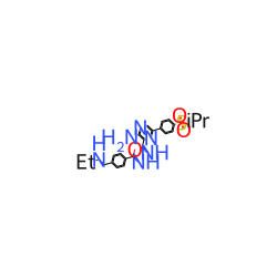 CCNCc1ccc(C(=N)OC(=N)c2nc(-c3ccc(S(=O)(=O)C(C)C)cc3)cnc2N)cc1